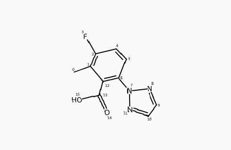 Cc1c(F)ccc(-n2nccn2)c1C(=O)O